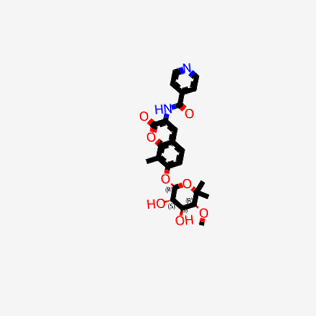 CO[C@@H]1[C@@H](O)[C@H](O)[C@H](Oc2ccc3cc(NC(=O)c4ccncc4)c(=O)oc3c2C)OC1(C)C